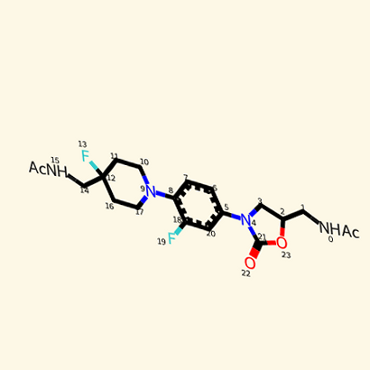 CC(=O)NCC1CN(c2ccc(N3CCC(F)(CNC(C)=O)CC3)c(F)c2)C(=O)O1